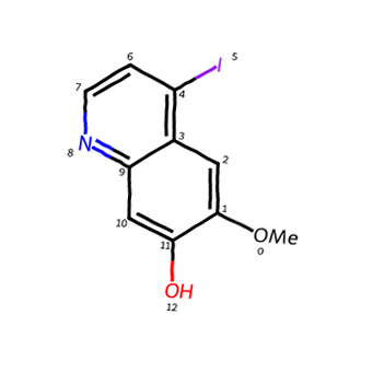 COc1cc2c(I)ccnc2cc1O